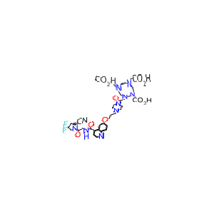 N#C[C@@H]1CC(F)(F)CN1C(=O)CNC(=O)c1ccnc2ccc(OCCCN3CCN(C(=O)CN4CCN(CC(=O)O)CCN(CC(=O)O)CCN(CC(=O)O)C4)CC3)cc12